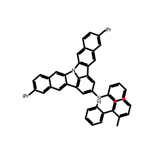 Cc1ccccc1-c1ccccc1[SiH](c1ccccc1)c1cc2c3cc4cc(C(C)C)ccc4cc3n3c4cc5ccc(C(C)C)cc5cc4c(c1)c23